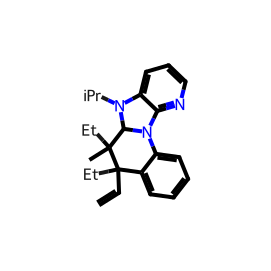 C=CC1(CC)c2ccccc2N2c3ncccc3N(C(C)C)C2C1(C)CC